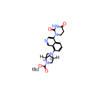 CC(C)(C)OC(=O)N1C[C@@H]2C[C@H]1CN2c1cccc2c(N3CCC(=O)NC3=O)cncc12